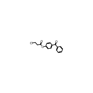 O=C(CCCl)Oc1ccc(C(=O)c2ccccc2)cc1